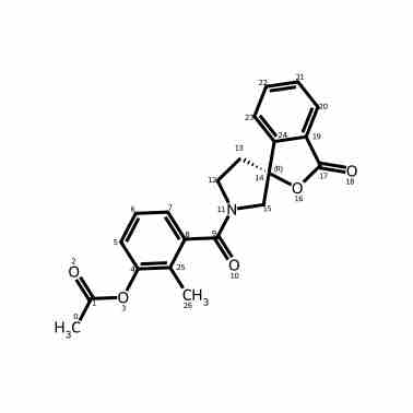 CC(=O)Oc1cccc(C(=O)N2CC[C@@]3(C2)OC(=O)c2ccccc23)c1C